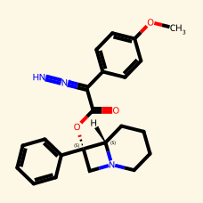 COc1ccc(C(=[N+]=N)C(=O)O[C@@]2(c3ccccc3)CN3CCCC[C@H]32)cc1